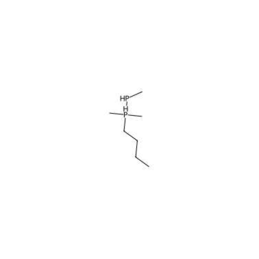 CCCC[PH](C)(C)PC